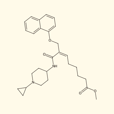 COC(=O)CCCCC=C(COc1cccc2ccccc12)C(=O)NC1CCN(C2CC2)CC1